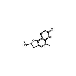 CNC1Cc2cc(C)c3[nH]c(=O)ccc3c2O1